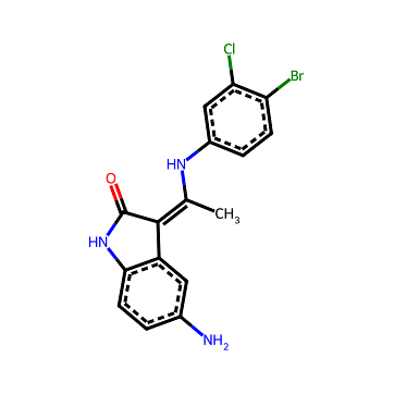 C/C(Nc1ccc(Br)c(Cl)c1)=C1/C(=O)Nc2ccc(N)cc21